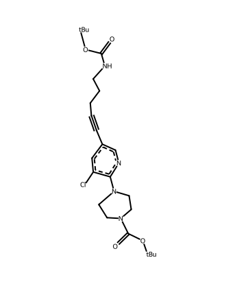 CC(C)(C)OC(=O)NCCCC#Cc1cnc(N2CCN(C(=O)OC(C)(C)C)CC2)c(Cl)c1